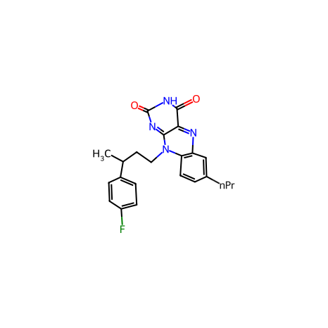 CCCc1ccc2c(c1)nc1c(=O)[nH]c(=O)nc-1n2CCC(C)c1ccc(F)cc1